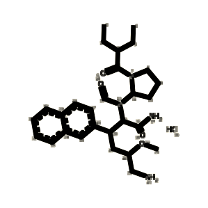 CCC(CC)C(=O)N1CCCC1N(C=O)C(C(N)=O)C(CC(CN)OC)c1ccc2ccccc2c1.Cl